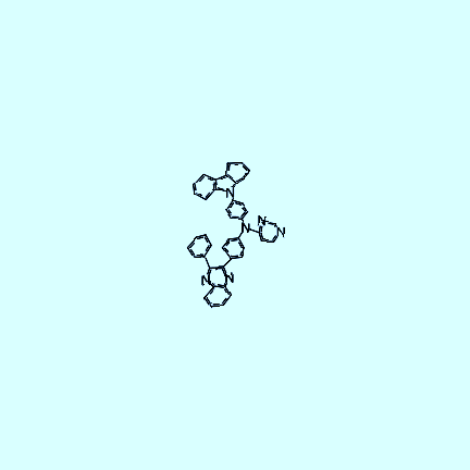 c1ccc(-c2nc3ccccc3nc2-c2ccc(N(c3ccc(-n4c5ccccc5c5ccccc54)cc3)c3ccncn3)cc2)cc1